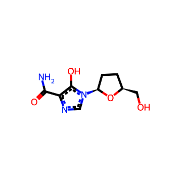 NC(=O)c1ncn([C@H]2CC[C@@H](CO)O2)c1O